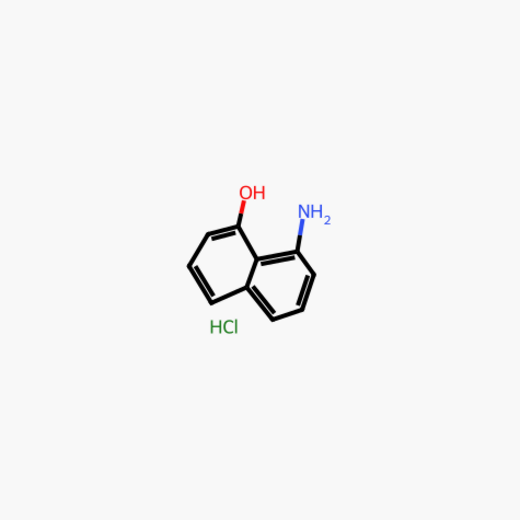 Cl.Nc1cccc2cccc(O)c12